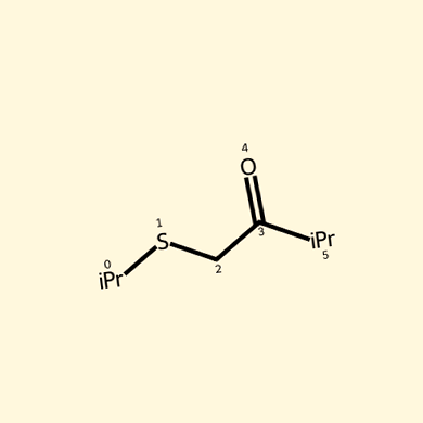 CC(C)SCC(=O)C(C)C